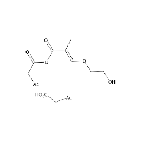 CC(=O)CC(=O)O.CC(=O)CC(=O)OC(=O)C(C)=COCCO